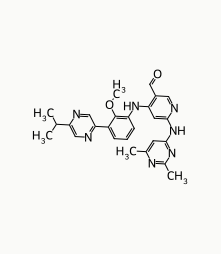 COc1c(Nc2cc(Nc3cc(C)nc(C)n3)ncc2C=O)cccc1-c1cnc(C(C)C)cn1